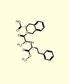 COC(=O)[C@H](CCc1ccccc1)N[C@@H](C)C(=O)N1Cc2ccccc2C[C@H]1C(=O)O